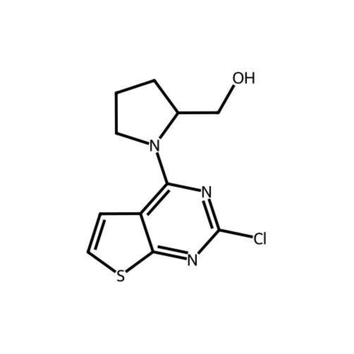 OCC1CCCN1c1nc(Cl)nc2sccc12